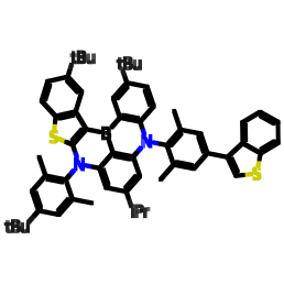 Cc1cc(-c2csc3ccccc23)cc(C)c1N1c2ccc(C(C)(C)C)cc2B2c3c1cc(C(C)C)cc3N(c1c(C)cc(C(C)(C)C)cc1C)c1sc3ccc(C(C)(C)C)cc3c12